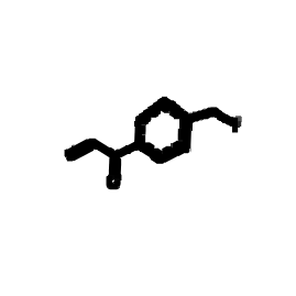 C=CC(=O)c1ccc(CF)cc1